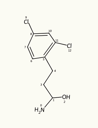 NC(O)CCc1ccc(Cl)cc1Cl